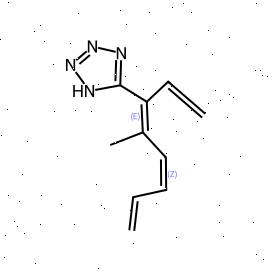 C=C/C=C\C(C)=C(/C=C)c1nnn[nH]1